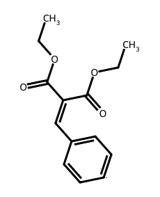 CCOC(=O)C(=Cc1cc[c]cc1)C(=O)OCC